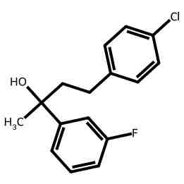 CC(O)(CCc1ccc(Cl)cc1)c1cccc(F)c1